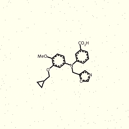 COc1ccc(N(Cc2cnco2)c2cccc(C(=O)O)c2)cc1OCC1CC1